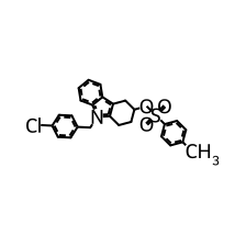 Cc1ccc(S(=O)(=O)OC2CCc3c(c4ccccc4n3Cc3ccc(Cl)cc3)C2)cc1